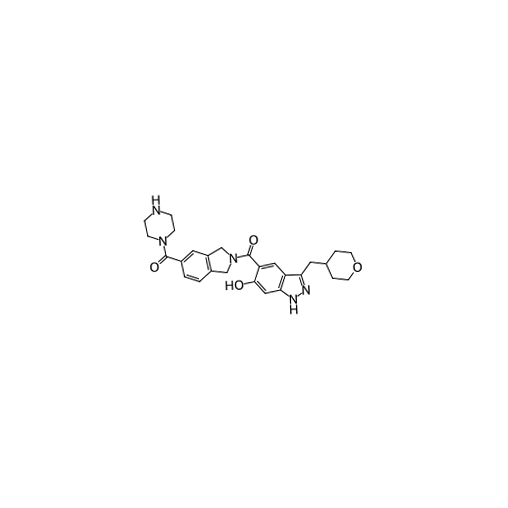 O=C(c1ccc2c(c1)CN(C(=O)c1cc3c(CC4CCOCC4)n[nH]c3cc1O)C2)N1CCNCC1